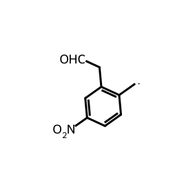 [CH2]c1ccc([N+](=O)[O-])cc1CC=O